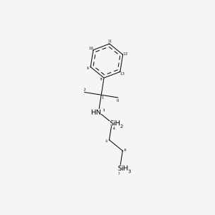 CC(C)(N[SiH2]CC[SiH3])c1ccccc1